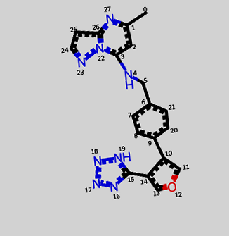 Cc1cc(NCc2ccc(-c3cocc3-c3nnn[nH]3)cc2)n2nccc2n1